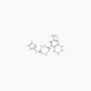 Cc1nc2c(c(N3CCCN(Cc4cccs4)CC3)n1)CCCC2